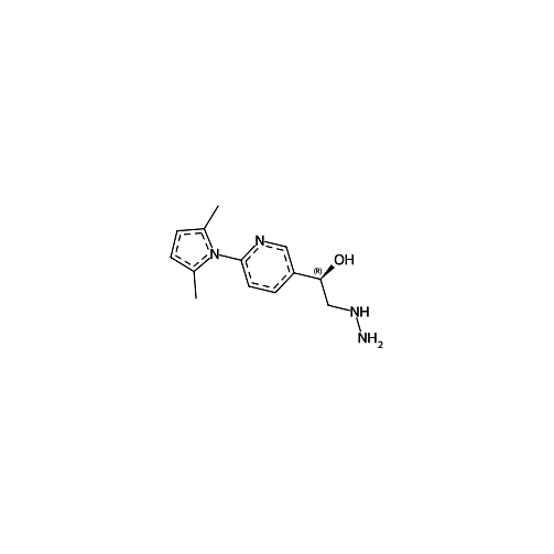 Cc1ccc(C)n1-c1ccc([C@@H](O)CNN)cn1